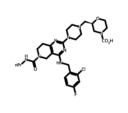 CCCNC(=O)N1CCc2nc(N3CCN(C[C@@H]4CN(C(=O)O)CCO4)CC3)nc(NCc3ccc(F)cc3Cl)c2C1